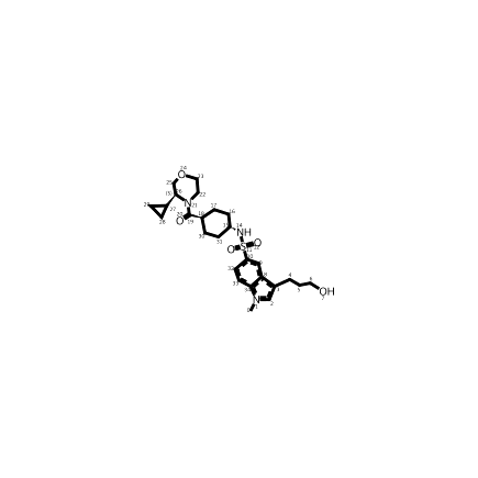 Cn1cc(CCCO)c2cc(S(=O)(=O)N[C@H]3CC[C@H](C(=O)N4CCOC[C@@H]4C4CC4)CC3)ccc21